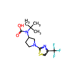 CC(C)(C)N(C(=O)O)C1CCN(c2nc(C(F)(F)F)cs2)C1